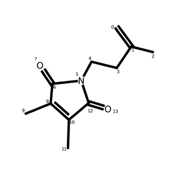 C=C(C)CCN1C(=O)C(C)=C(C)C1=O